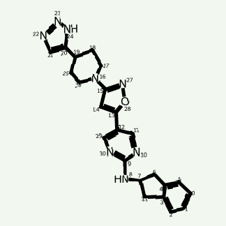 c1ccc2c(c1)CC(Nc1ncc(-c3cc(N4CCC(c5cnn[nH]5)CC4)no3)cn1)C2